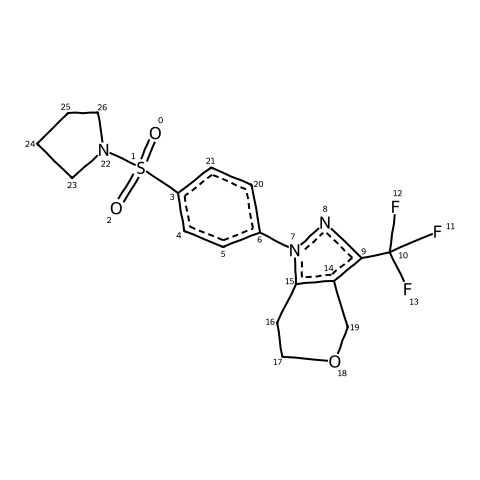 O=S(=O)(c1ccc(-n2nc(C(F)(F)F)c3c2CCOC3)cc1)N1CCCC1